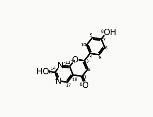 O=c1cc(-c2ccc(O)cc2)oc2nc(O)ncc12